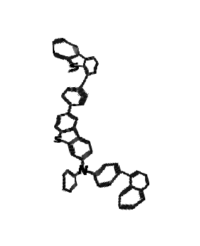 c1ccc(N(c2ccc(-c3cccc4ccccc34)cc2)c2ccc3c(c2)sc2ccc(-c4ccc(-c5cccc6c5sc5ccccc56)cc4)cc23)cc1